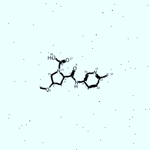 COC1CC(C(=O)Nc2ccc(F)nc2)N(C(=O)O)C1